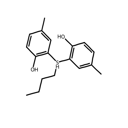 CCCC[SH](c1cc(C)ccc1O)c1cc(C)ccc1O